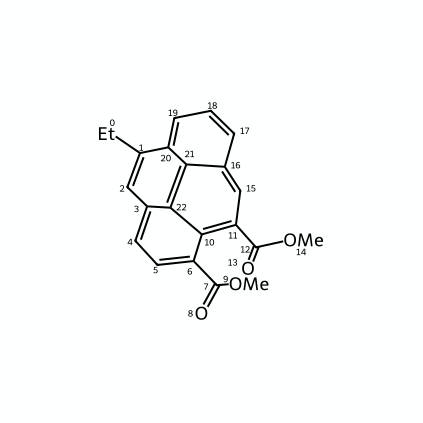 CCc1cc2ccc(C(=O)OC)c3c(C(=O)OC)cc4cccc1c4c23